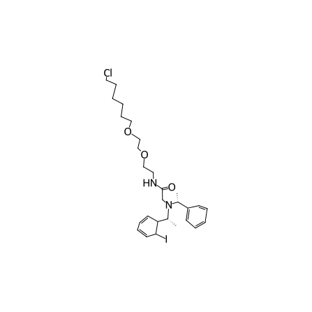 C[C@H](c1ccccc1)N(CC(=O)NCCOCCOCCCCCCCl)[C@H](C)C1C=CC=CC1I